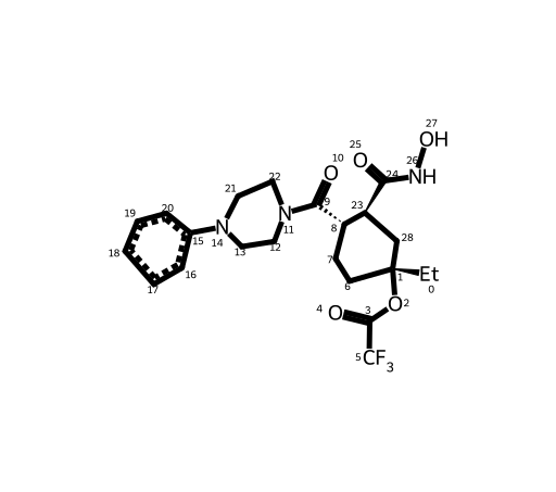 CC[C@@]1(OC(=O)C(F)(F)F)CC[C@H](C(=O)N2CCN(c3ccccc3)CC2)[C@@H](C(=O)NO)C1